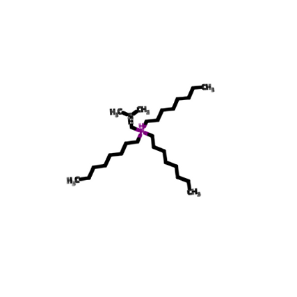 CCCCCCCC[PH](CCCCCCCC)(CCCCCCCC)C[SiH](C)C